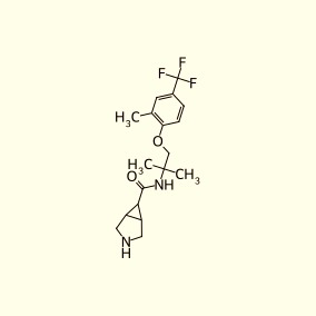 Cc1cc(C(F)(F)F)ccc1OCC(C)(C)NC(=O)C1C2CNCC21